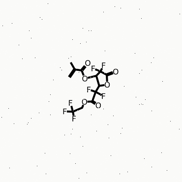 C=C(C)C(=O)OC1C(C(F)(F)C(=O)OCC(F)(F)F)OC(=O)C1(F)F